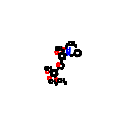 CCCOc1c(NCc2ccccc2)cc(C2CCC(c3cc(OC)c(OC)c(OC)c3)O2)cc1OC